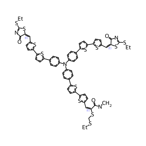 C=NC(=O)/C(=C\c1ccc(-c2ccc(-c3ccc(N(c4ccc(-c5ccc(-c6ccc(/C=C7/SC(SCC)=NC7=O)s6)s5)cc4)c4ccc(-c5ccc(-c6ccc(/C=C7/SC(SCC)=NC7=O)s6)s5)cc4)cc3)s2)s1)SCSCC